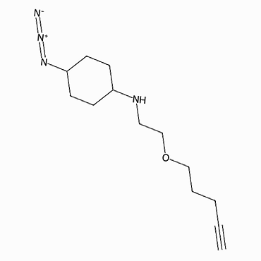 C#CCCCOCCNC1CCC(N=[N+]=[N-])CC1